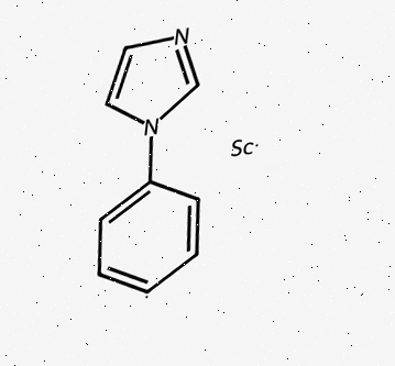 [Sc].[c]1ccc(-n2ccnc2)cc1